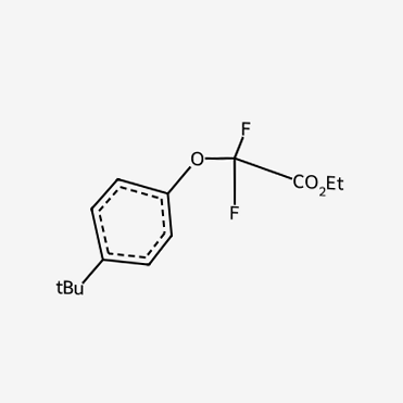 CCOC(=O)C(F)(F)Oc1ccc(C(C)(C)C)cc1